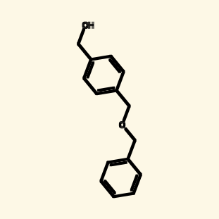 OCc1ccc(COCc2ccccc2)cc1